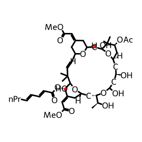 CCC/C=C/C=C/C(=O)O[C@H]1/C(=C/C(=O)OC)C[C@H]2C[C@@H]([C@H](C)O)OC(O)C[C@H](O)C[C@@H]3C[C@H](OC(C)=O)C(C)(C)[C@](O)(C[C@@H]4C/C(=C/C(=O)OC)C[C@H](/C=C/C(C)(C)[C@]1(O)O2)O4)O3